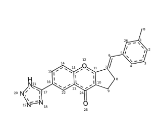 Cc1cccc(/C=C2\CCc3c2oc2ccc(-c4nnn[nH]4)cc2c3=O)c1